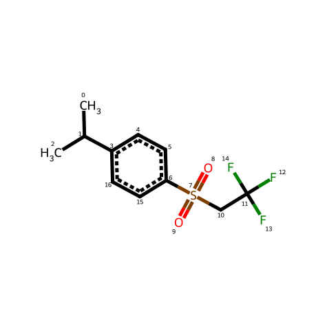 CC(C)c1ccc(S(=O)(=O)CC(F)(F)F)cc1